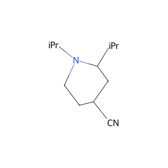 CC(C)C1CC(C#N)CCN1C(C)C